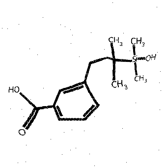 CC(C)(Cc1cccc(C(=O)O)c1)[Si](C)(C)O